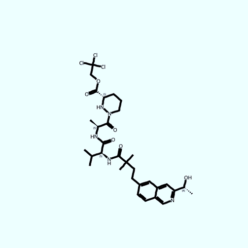 CC(C)[C@H](NC(=O)C(C)(C)CCc1ccc2cnc([C@@H](C)O)cc2c1)C(=O)N[C@@H](C)C(=O)N1CCC[C@@H](C(=O)OCC(Cl)(Cl)Cl)N1